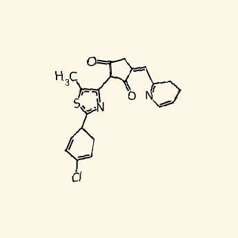 Cc1sc(C2C=CC(Cl)=CC2)nc1C1C(=O)C/C(=C/C2=NC=CCC2)C1=O